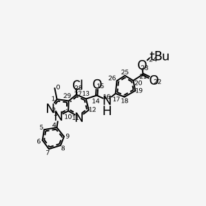 Cc1nn(-c2ccccc2)c2ncc(C(=O)Nc3ccc(C(=O)OC(C)(C)C)cc3)c(Cl)c12